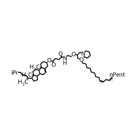 CCCCC/C=C\C/C=C\CCCCCCCCOCC(CN1CCCCC1)OCCNC(=O)CCC(=O)OC1CCC2(C)C(=CCC3C2CCC2(C)C(C(C)CCCC(C)C)CCC32)C1